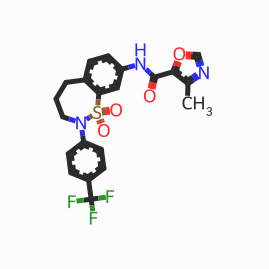 Cc1ncoc1C(=O)Nc1ccc2c(c1)S(=O)(=O)N(c1ccc(C(F)(F)F)cc1)CCC2